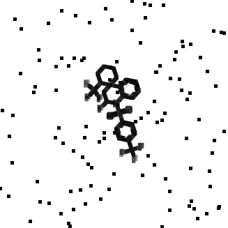 O=S(=O)(c1ccc(C(F)(F)F)cc1)N1c2ccccc2C2(CCCCC2C(F)(F)F)CC1F